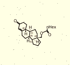 CCCCCCC(=O)OC[C@@]12CCC[C@H]1[C@@H]1CCC3=CC(=O)CC[C@@H]3[C@H]1CC2